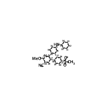 COc1nc(-c2ccc(Nc3ccccc3)cc2)c(-c2ccc(S(C)(=O)=O)cc2)cc1C#N